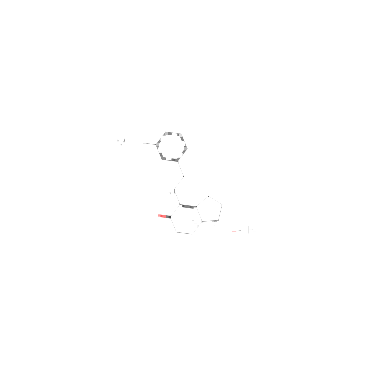 COc1cccc(C[C@@H](C)C2=C3CC[C@H](OC(C)(C)C)[C@@]3(C)CCC2=O)c1